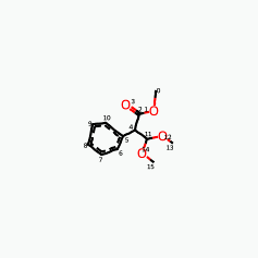 COC(=O)C(c1ccccc1)C(OC)OC